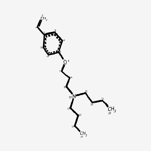 C=Cc1ccc(OCCCN(CCCC)CCCC)cc1